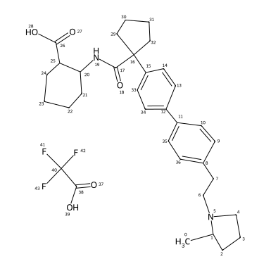 CC1CCCN1CCc1ccc(-c2ccc(C3(C(=O)NC4CCCCC4C(=O)O)CCCC3)cc2)cc1.O=C(O)C(F)(F)F